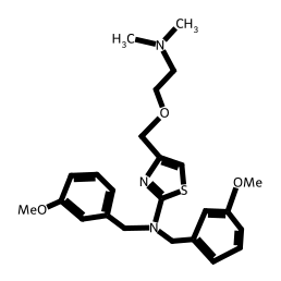 COc1cccc(CN(Cc2cccc(OC)c2)c2nc(COCCN(C)C)cs2)c1